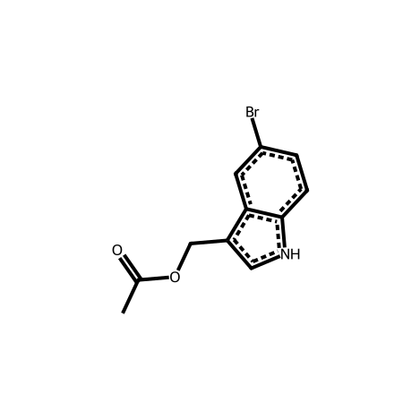 CC(=O)OCc1c[nH]c2ccc(Br)cc12